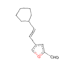 O=Cc1cc(/C=C/C2CCCCC2)co1